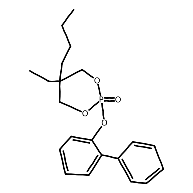 CCCCC1(CC)COP(=O)(Oc2ccccc2-c2ccccc2)OC1